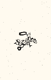 CC(C)CC[C@H](NC(=O)[C@H](CCc1ccccc1)NC(=O)CN1CCOCC1)C(=O)N[C@@H](Cc1ccccc1)C(=O)N[C@H](CC(C)C)C(=O)[C@]1(C)CO1